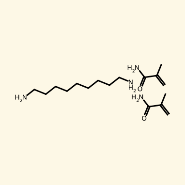 C=C(C)C(N)=O.C=C(C)C(N)=O.NCCCCCCCCCN